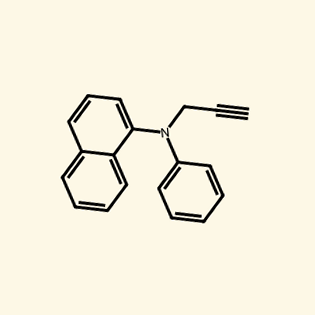 C#CCN(c1ccccc1)c1cccc2ccccc12